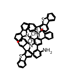 CC(C)(c1c(-n2c3ccccc3c3c4sc5ccccc5c4ccc32)c(-c2ccccc2N)cc(-c2ccccc2N)c1-n1c2ccccc2c2c3sc4ccccc4c3ccc21)n1c2ccccc2c2ccccc21